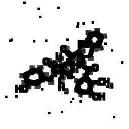 Cc1c(O)cccc1C(=O)N[C@@H](Cc1ccccc1)[C@H](N=O)C(=O)N1CSC2(C)[C@H]1C(=O)N2Cc1cccc(O)c1